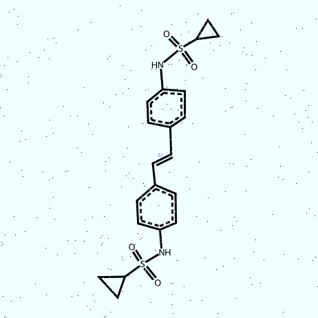 O=S(=O)(Nc1ccc(/C=C/c2ccc(NS(=O)(=O)C3CC3)cc2)cc1)C1CC1